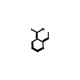 C/C=C1/N=C=C=C/C1=C(\I)CC